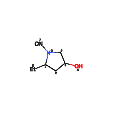 CCC1CC(O)CN1N=O